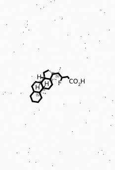 C[C@H](C(F)CC(=O)O)[C@H]1CC[C@H]2[C@@H]3CCC4CCCC[C@]4(C)[C@H]3CC[C@]12C